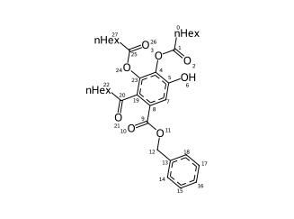 CCCCCCC(=O)Oc1c(O)cc(C(=O)OCc2ccccc2)c(C(=O)CCCCCC)c1OC(=O)CCCCCC